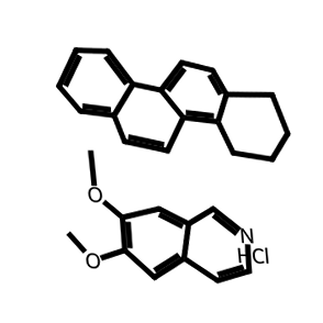 COc1cc2ccncc2cc1OC.Cl.c1ccc2c(c1)ccc1c3c(ccc12)CCCC3